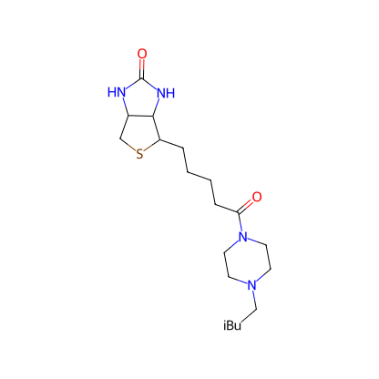 CCC(C)CN1CCN(C(=O)CCCCC2SCC3NC(=O)NC32)CC1